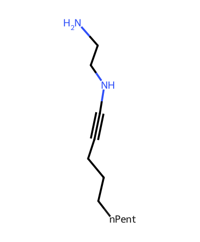 CCCCCCCCC#CNCCN